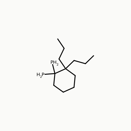 CCCC1(CCC)CCCCC1(P)P